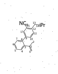 C=C(C)c1ccccc1-c1ccc(CC(C)C)c(C#N)c1